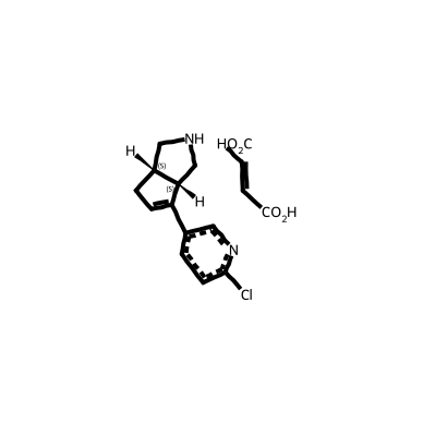 Clc1ccc(C2=CC[C@@H]3CNC[C@H]23)cn1.O=C(O)C=CC(=O)O